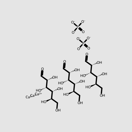 O=C[C@H](O)[C@@H](O)[C@H](O)[C@H](O)CO.O=C[C@H](O)[C@@H](O)[C@H](O)[C@H](O)CO.O=C[C@H](O)[C@@H](O)[C@H](O)[C@H](O)CO.O=P([O-])([O-])[O-].O=P([O-])([O-])[O-].[Ca+2].[Ca+2].[Ca+2]